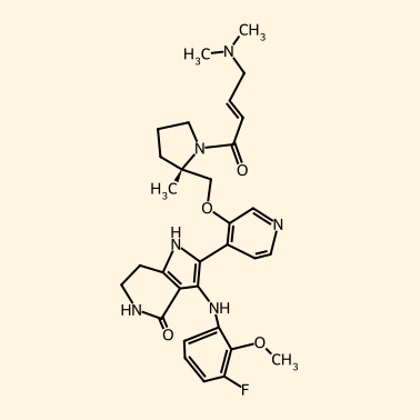 COc1c(F)cccc1Nc1c(-c2ccncc2OC[C@]2(C)CCCN2C(=O)/C=C/CN(C)C)[nH]c2c1C(=O)NCC2